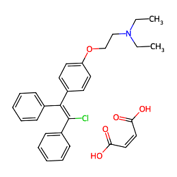 CCN(CC)CCOc1ccc(C(=C(Cl)c2ccccc2)c2ccccc2)cc1.O=C(O)/C=C\C(=O)O